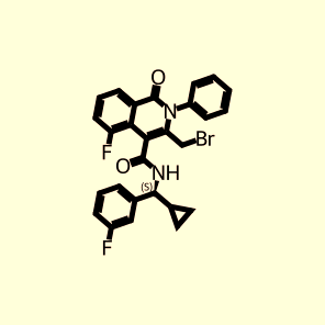 O=C(N[C@H](c1cccc(F)c1)C1CC1)c1c(CBr)n(-c2ccccc2)c(=O)c2cccc(F)c12